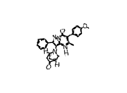 COc1ccc(-c2c(C)[nH]c3c(N4C[C@H]5C[C@@H]4CC5=O)c(-c4ccccc4)nn3c2=O)cc1